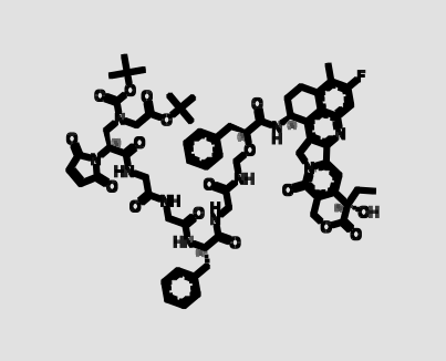 CC[C@@]1(O)C(=O)OCc2c1cc1n(c2=O)Cc2c-1nc1cc(F)c(C)c3c1c2[C@@H](NC(=O)[C@H](Cc1ccccc1)OCNC(=O)CNC(=O)[C@H](Cc1ccccc1)NC(=O)CNC(=O)CNC(=O)[C@H](CN(CC(=O)OC(C)(C)C)C(=O)OC(C)(C)C)N1C(=O)C=CC1=O)CC3